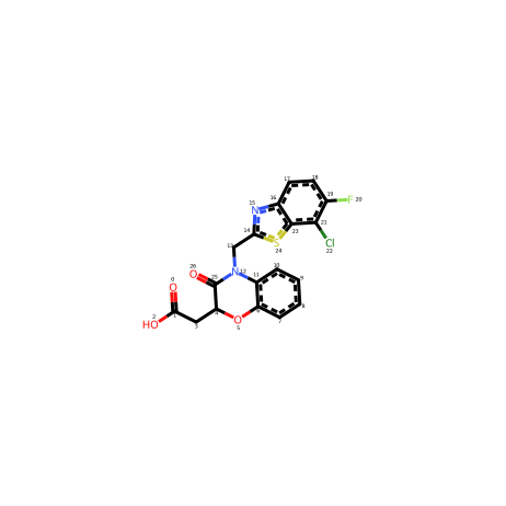 O=C(O)CC1Oc2ccccc2N(Cc2nc3ccc(F)c(Cl)c3s2)C1=O